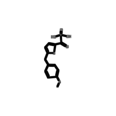 CSc1ccc(Cc2ccc(C(=O)P(=O)(O)O)s2)cc1